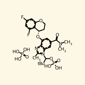 Cc1nc2c(O[C@H]3CCOc4cc(F)cc(F)c43)cc(C(=O)N(C)C)cc2n1C(OP(=O)(O)O)C(C)(C)C.O=P(O)(O)O